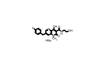 Cn1c(=O)c(C(=O)NCCO)c(O)c2ncc(Cc3ccc(F)cc3)cc21.[NaH]